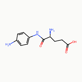 Nc1ccc(NC(=O)[C@@H](N)CCC(=O)O)cc1